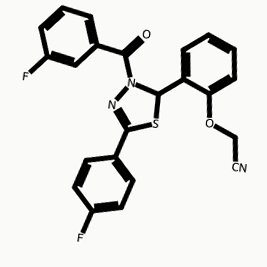 N#CCOc1ccccc1C1SC(c2ccc(F)cc2)=NN1C(=O)c1cccc(F)c1